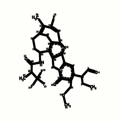 CCC(C=O)c1cc2n(c(=O)c1COC)Cc1c-2nc2c3c1C(NC(=O)C(C)C(F)(F)F)CCC(=C(C)C(F)=C2)C3